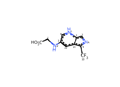 O=C(O)CNc1c[nH]c2cnc(C(F)(F)F)c-2c1